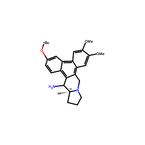 CCCCOc1ccc2c3c(c4cc(OC)c(OC)cc4c2c1)CN1CCC[C@H]1C3N